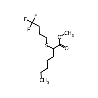 CCCCCC(SCCCC(F)(F)F)C(=O)OC